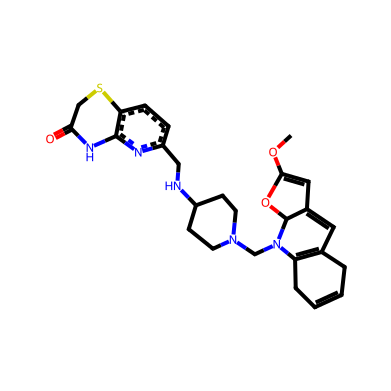 COC1=CC2=CC3=C(CC=CC3)N(CN3CCC(NCc4ccc5c(n4)NC(=O)CS5)CC3)C2O1